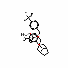 O=C(CO)N(CCN1C2CCC1CC(c1cccc(O)c1)C2)Cc1ccc(C(F)(F)F)cc1